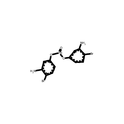 Nc1cc(O[PH](=O)Oc2ccc(Br)c(N)c2)ccc1Br